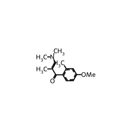 COc1ccc(C(=O)C(C)=CN(C)C)c(C)c1